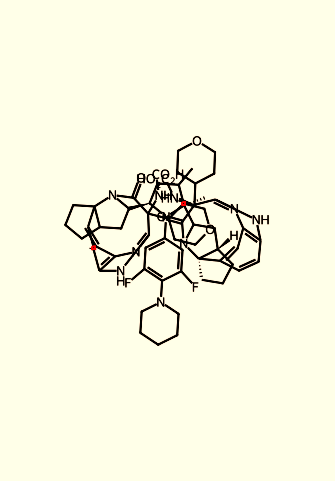 CC1C[C@H](C2CC3CCCC34c3ccc5[nH]c(nc5c3)C(NC(=O)O)(C3CCOCC3)C(=O)N24)N(c2cc(F)c(N3CCCCC3)c(F)c2)[C@]1(C)C1C[C@@H]2CCC[C@@]23c2ccc4[nH]c(nc4c2)[C@@](NC(=O)O)(C2CCOCC2)C(=O)N13